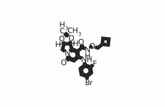 CC1(C)O[C@@H]2Cn3c(c(C(=O)NOCC4CCC4)c(Nc4ccc(Br)cc4F)cc3=O)[C@@H]2O1